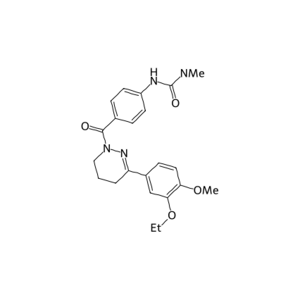 CCOc1cc(C2=NN(C(=O)c3ccc(NC(=O)NC)cc3)CCC2)ccc1OC